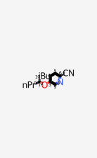 CCCC(Oc1ccc(C#N)nc1)C(C)CC